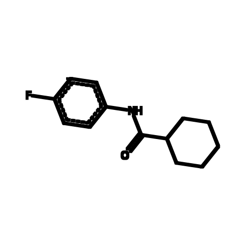 O=C(Nc1c[c]c(F)cc1)C1CCCCC1